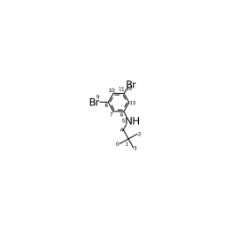 CC(C)(C)CNc1cc(Br)cc(Br)c1